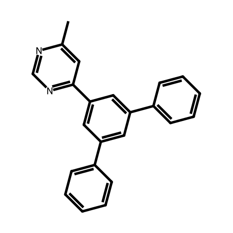 Cc1cc(-c2cc(-c3ccccc3)cc(-c3ccccc3)c2)ncn1